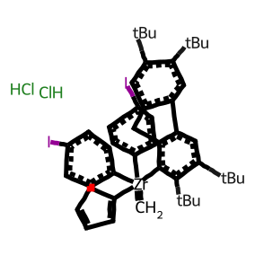 Cl.Cl.[CH2]=[Zr]([C]1=CC=CC1)([c]1ccc(I)cc1)([c]1ccc(I)cc1)[c]1c2c(cc(C(C)(C)C)c1C(C)(C)C)-c1cc(C(C)(C)C)c(C(C)(C)C)cc1C2